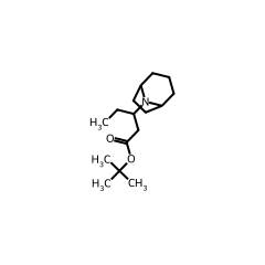 CCC(CC(=O)OC(C)(C)C)N1C2CCCC1CC2